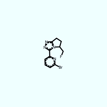 FCC1CCc2nnc(-c3cccc(Br)n3)n21